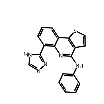 c1ccc(Nc2nc3c(-c4nnc[nH]4)cccc3c3sccc23)cc1